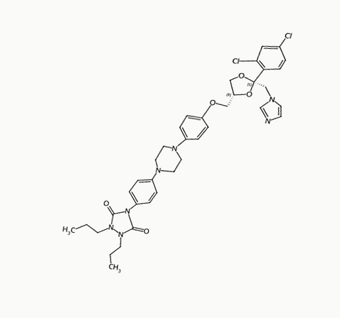 CCCn1c(=O)n(-c2ccc(N3CCN(c4ccc(OC[C@@H]5CO[C@@](Cn6ccnc6)(c6ccc(Cl)cc6Cl)O5)cc4)CC3)cc2)c(=O)n1CCC